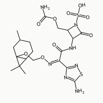 CC1CCC2C(C)(C)C2(OCO/N=C(\C(=O)NC2C(=O)N(S(=O)(=O)O)C2COC(N)=O)c2nsc(N)n2)C1